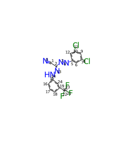 N#CC(N=Nc1cc(Cl)cc(Cl)c1)=NNc1cccc(C(F)(F)F)c1